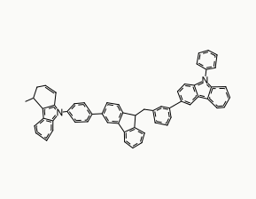 CC1CC=Cc2c1c1ccccc1n2-c1ccc(-c2ccc3c(c2)-c2ccccc2C3Cc2cccc(-c3ccc4c(c3)c3ccccc3n4-c3ccccc3)c2)cc1